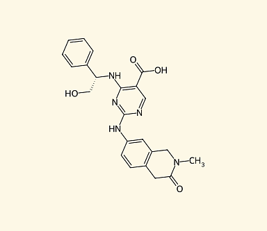 CN1Cc2cc(Nc3ncc(C(=O)O)c(N[C@H](CO)c4ccccc4)n3)ccc2CC1=O